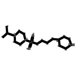 CC(C)N1CCN(S(=O)(=O)CCCCC2CCNCC2)CC1